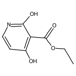 CCOC(=O)c1c(O)ccnc1O